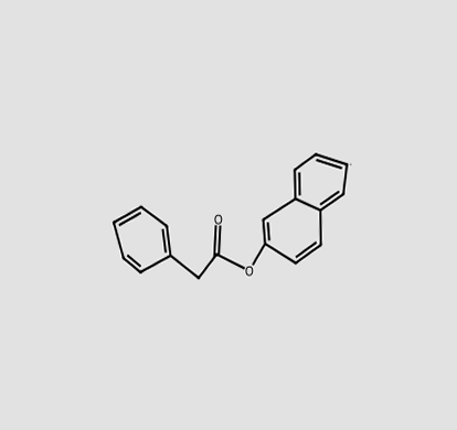 O=C(Cc1ccccc1)Oc1ccc2c[c]ccc2c1